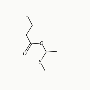 [CH2]CCC(=O)OC(C)SC